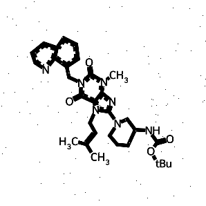 CC(C)=CCn1c(N2CCCC(NC(=O)OC(C)(C)C)C2)nc2c1c(=O)n(Cc1cccc3cccnc13)c(=O)n2C